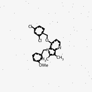 COc1cccc(Cn2c(C)c(C)c3nccc(OCc4ccc(Cl)cc4Cl)c32)c1